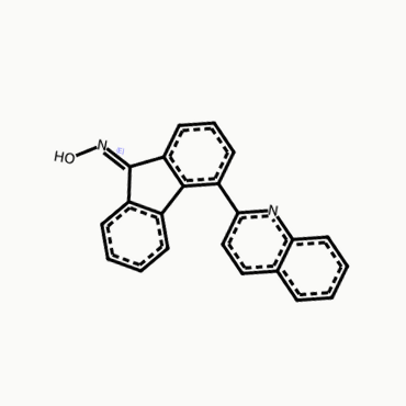 O/N=C1\c2ccccc2-c2c1cccc2-c1ccc2ccccc2n1